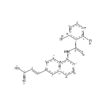 O=C(O)C=Cc1cnc2c(NC(=O)c3c(Cl)cccc3Cl)cccc2c1